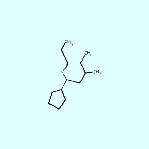 CCC[N]C(CC(C)CC)C1CCCC1